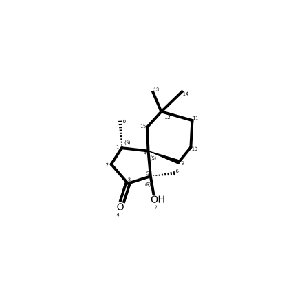 C[C@H]1CC(=O)[C@](C)(O)[C@]12CCCC(C)(C)C2